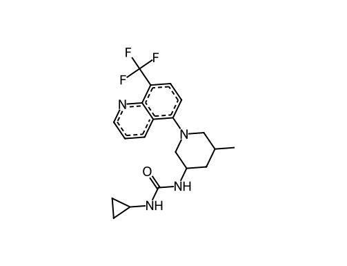 CC1CC(NC(=O)NC2CC2)CN(c2ccc(C(F)(F)F)c3ncccc23)C1